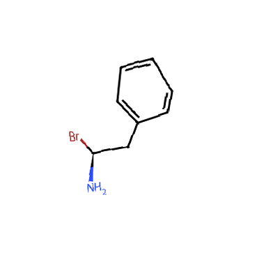 N[C@@H](Br)Cc1ccccc1